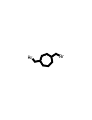 BrCC1CCCC(CBr)CC1